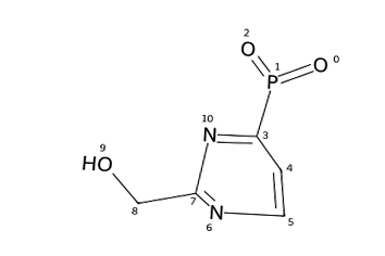 O=P(=O)c1ccnc(CO)n1